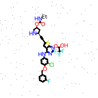 CCNC(=O)O[C@@H]1CN[C@H](C#Cc2cc3c(Nc4ccc(OCc5cccc(F)c5)c(Cl)c4)ncnc3s2)C1.O=C(O)C(F)(F)F